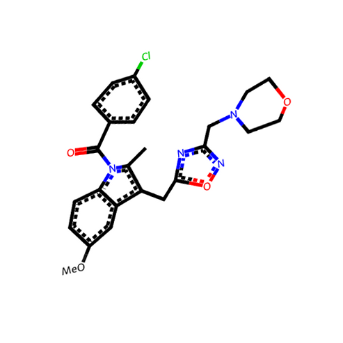 COc1ccc2c(c1)c(Cc1nc(CN3CCOCC3)no1)c(C)n2C(=O)c1ccc(Cl)cc1